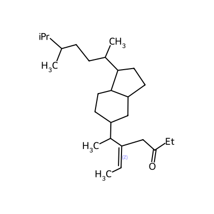 C/C=C(/CC(=O)CC)C(C)C1CCC2C(CCC2C(C)CCC(C)C(C)C)C1